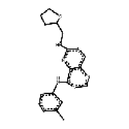 Cc1cccc(Nc2ncnc3cnc(NCC4CCCO4)nc23)c1